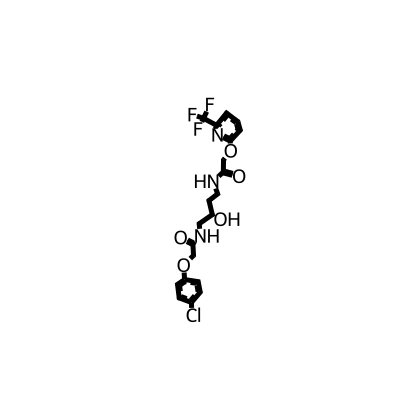 O=C(COc1ccc(Cl)cc1)NC[C@@H](O)CCNC(=O)COc1cccc(C(F)(F)F)n1